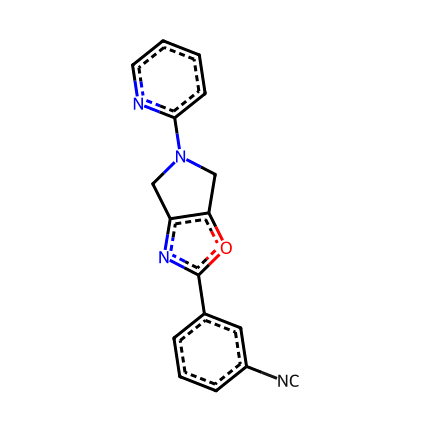 [C-]#[N+]c1cccc(-c2nc3c(o2)CN(c2ccccn2)C3)c1